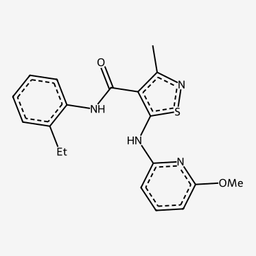 CCc1ccccc1NC(=O)c1c(C)nsc1Nc1cccc(OC)n1